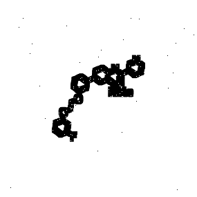 CNc1nc(-c2cccnc2)nc2ccc(-c3cccc(OCCOc4cccc(F)c4)c3)cc12